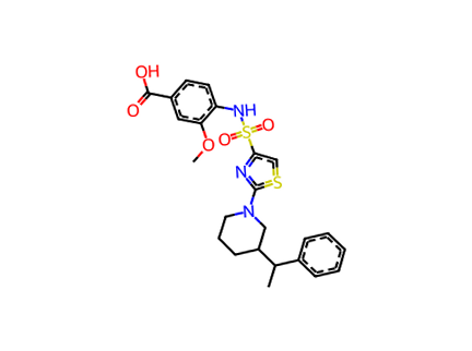 COc1cc(C(=O)O)ccc1NS(=O)(=O)c1csc(N2CCCC(C(C)c3ccccc3)C2)n1